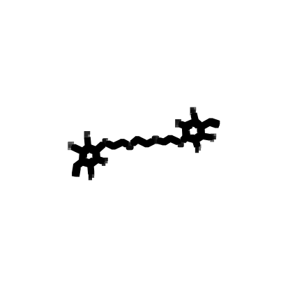 C=Cc1c(F)c(F)c(SCCOCCOCCSc2c(F)c(F)c(C=C)c(F)c2F)c(F)c1F